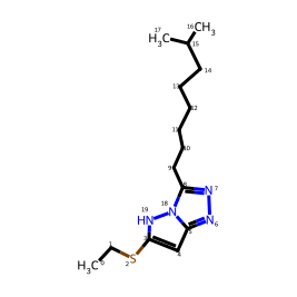 CCSc1cc2nnc(CCCCCCC(C)C)n2[nH]1